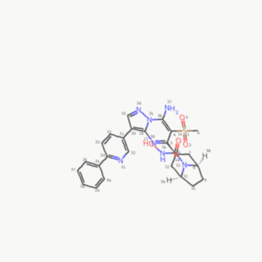 CS(=O)(=O)c1c([C@H]2C[C@H]3CC[C@@H](C2)N3C(=O)NO)nc2c(-c3ccc(-c4ccccc4)nc3)cnn2c1N